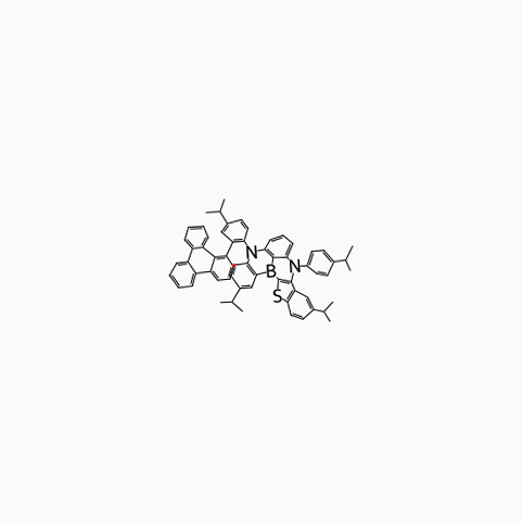 CC(C)c1ccc(N2c3cccc4c3B(c3cc(C(C)C)ccc3N4c3ccc(C(C)C)cc3-c3cccc4c5ccccc5c5ccccc5c34)c3sc4ccc(C(C)C)cc4c32)cc1